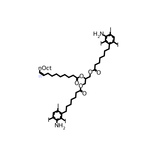 CCCCCCCC/C=C\CCCCCCCC(=O)OC(COC(=O)CCCCCCc1c(I)cc(I)c(N)c1I)COC(=O)CCCCCCc1c(I)cc(I)c(N)c1I